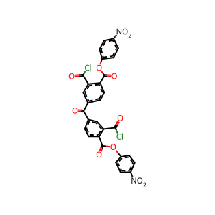 O=C(c1ccc(C(=O)Oc2ccc([N+](=O)[O-])cc2)c(C(=O)Cl)c1)c1ccc(C(=O)Oc2ccc([N+](=O)[O-])cc2)c(C(=O)Cl)c1